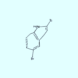 Brc1ccc2[nH]c(Br)cc2c1